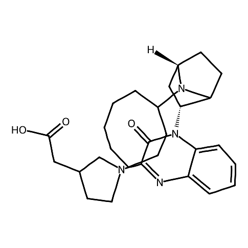 O=C(O)CC1CCN(c2nc3ccccc3n([C@@H]3C[C@@H]4CCC3N4C3CCCCCCC3)c2=O)C1